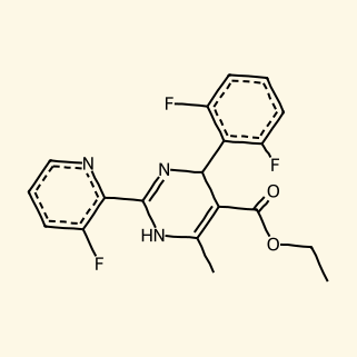 CCOC(=O)C1=C(C)NC(c2ncccc2F)=NC1c1c(F)cccc1F